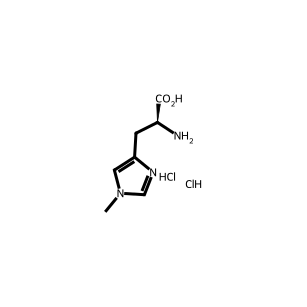 Cl.Cl.Cn1cnc(C[C@H](N)C(=O)O)c1